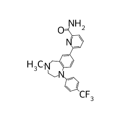 CN1CCN(c2ccc(C(F)(F)F)cc2)c2ccc(-c3cccc(C(N)=O)n3)cc2C1